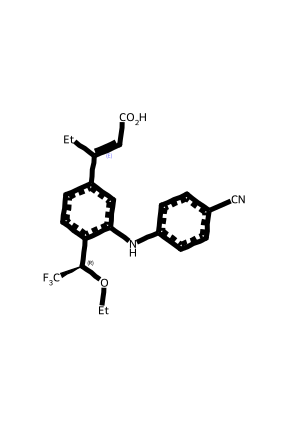 CCO[C@H](c1ccc(/C(=C/C(=O)O)CC)cc1Nc1ccc(C#N)cc1)C(F)(F)F